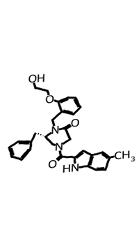 Cc1ccc2[nH]c(C(=O)N3CC(=O)N(Cc4ccccc4OCCO)[C@@H](Cc4ccccc4)C3)cc2c1